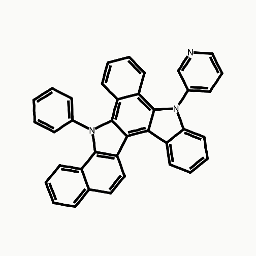 c1ccc(-n2c3c4ccccc4ccc3c3c4c5ccccc5n(-c5cccnc5)c4c4ccccc4c32)cc1